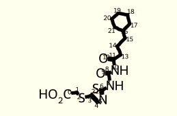 O=C(O)CSc1cnc(NC(=O)NC(=O)CCCC2CCCCC2)s1